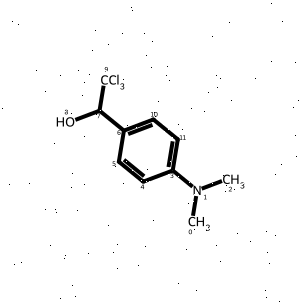 CN(C)c1ccc(C(O)C(Cl)(Cl)Cl)cc1